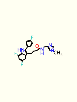 Cn1cnc(CNC(=O)CCCc2c(-c3ccc(F)cc3)[nH]c3c(F)cc(F)cc23)c1